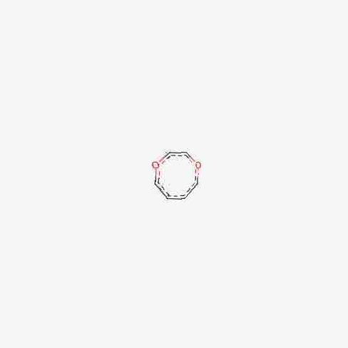 [c]1cocccco1